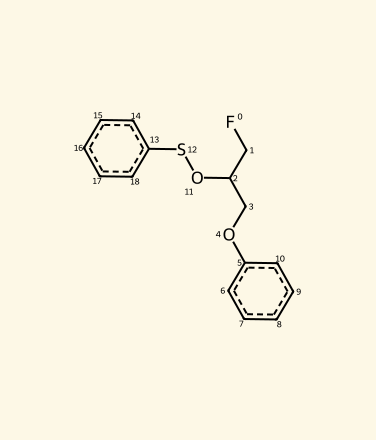 FCC(COc1ccccc1)OSc1ccccc1